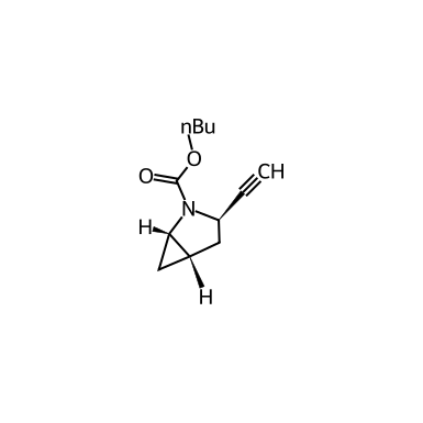 C#C[C@H]1C[C@@H]2C[C@@H]2N1C(=O)OCCCC